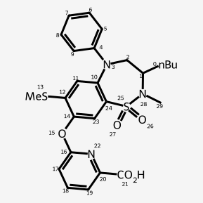 CCCCC1CN(c2ccccc2)c2cc(SC)c(Oc3cccc(C(=O)O)n3)cc2S(=O)(=O)N1C